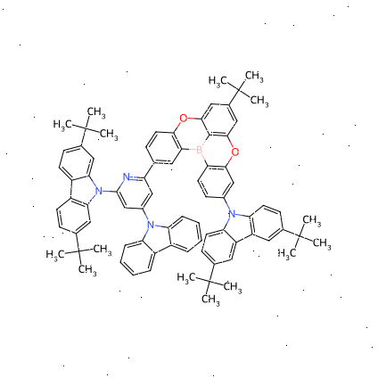 CC(C)(C)c1cc2c3c(c1)Oc1ccc(-c4cc(-n5c6ccccc6c6ccccc65)cc(-n5c6cc(C(C)(C)C)ccc6c6ccc(C(C)(C)C)cc65)n4)cc1B3c1ccc(-n3c4ccc(C(C)(C)C)cc4c4cc(C(C)(C)C)ccc43)cc1O2